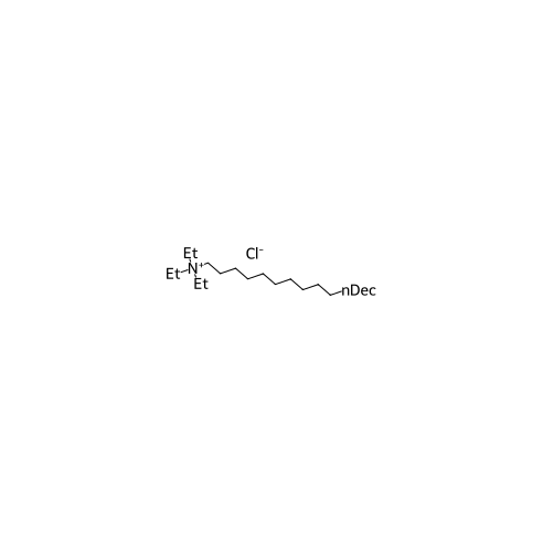 CCCCCCCCCCCCCCCCCCCC[N+](CC)(CC)CC.[Cl-]